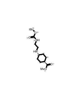 COC(=O)[C@H]1CC[C@H](NCCNC(=O)OC(C)(C)C)CC1